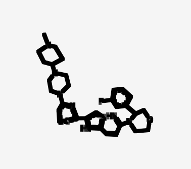 CN1CCC(N2CCN(c3cccc(-c4cnc(/C=C\C(=N)N5CCOCC5c5cccc(F)c5)[nH]4)n3)CC2)CC1